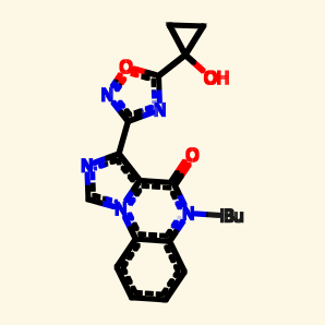 CCC(C)n1c(=O)c2c(-c3noc(C4(O)CC4)n3)ncn2c2ccccc21